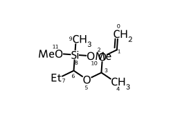 C=COC(C)OC(CC)[Si](C)(OC)OC